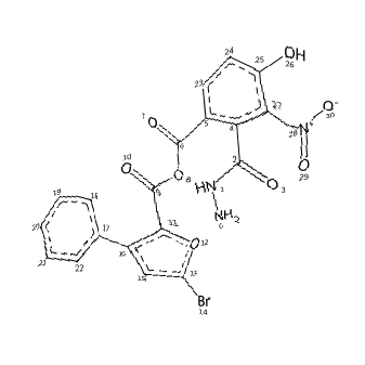 NNC(=O)c1c(C(=O)OC(=O)c2oc(Br)cc2-c2ccccc2)ccc(O)c1[N+](=O)[O-]